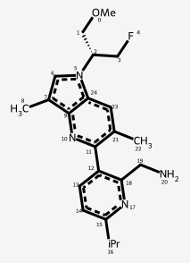 COC[C@H](CF)n1cc(C)c2nc(-c3ccc(C(C)C)nc3CN)c(C)cc21